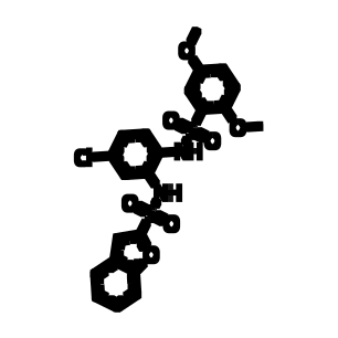 COc1ccc(OC)c(S(=O)(=O)Nc2ccc(Cl)cc2NS(=O)(=O)c2cc3ccccc3o2)c1